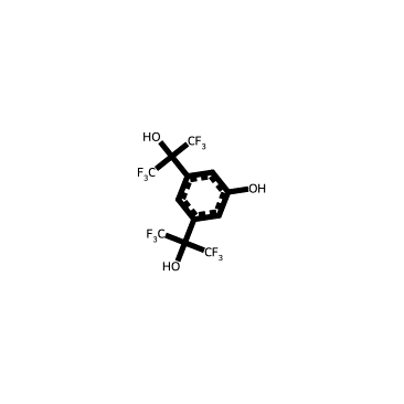 Oc1cc(C(O)(C(F)(F)F)C(F)(F)F)cc(C(O)(C(F)(F)F)C(F)(F)F)c1